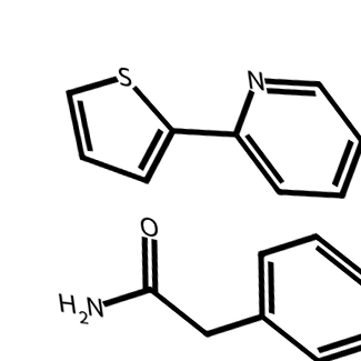 NC(=O)Cc1ccccc1.c1ccc(-c2cccs2)nc1